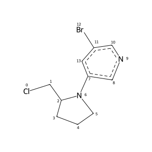 ClCC1CCCN1c1cncc(Br)c1